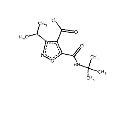 CC(C)c1noc(C(=O)NC(C)(C)C)c1C(=O)Cl